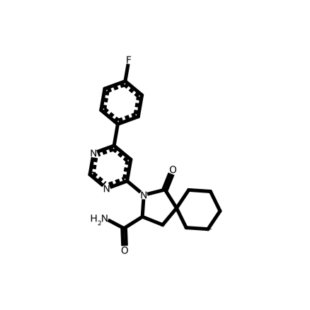 NC(=O)C1CC2(C[CH]CCC2)C(=O)N1c1cc(-c2ccc(F)cc2)ncn1